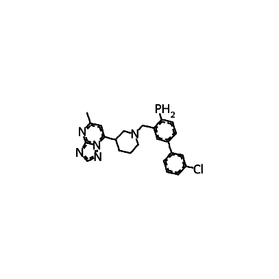 Cc1cc(C2CCCN(Cc3cc(-c4cccc(Cl)c4)ccc3P)C2)n2ncnc2n1